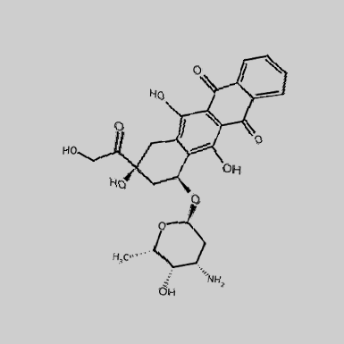 C[C@@H]1O[C@@H](O[C@H]2C[C@](O)(C(=O)CO)Cc3c(O)c4c(c(O)c32)C(=O)c2ccccc2C4=O)C[C@H](N)[C@@H]1O